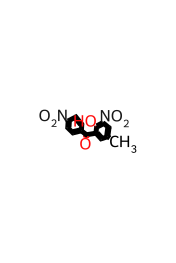 Cc1cc(C(=O)c2ccc([N+](=O)[O-])cc2)c(O)c([N+](=O)[O-])c1